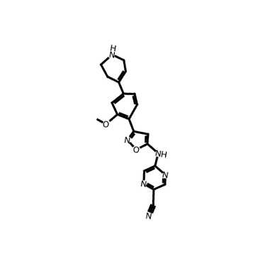 COc1cc(C2=CCNCC2)ccc1-c1cc(Nc2cnc(C#N)cn2)on1